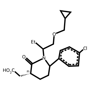 CCC(COCC1CC1)N1C(=O)[C@@H](CC(=O)O)CCC1c1ccc(Cl)cc1